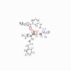 COC(=O)c1cccc(CCCN2C(=O)CC[C@@H]2C=C[C@@H](O)[C@@H](C)CCCCc2ccccc2)c1